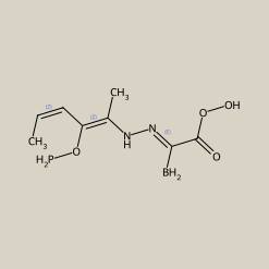 B/C(=N\N/C(C)=C(/C=C\C)OP)C(=O)OO